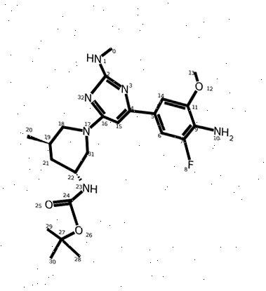 CNc1nc(-c2cc(F)c(N)c(OC)c2)cc(N2C[C@H](C)C[C@@H](NC(=O)OC(C)(C)C)C2)n1